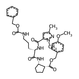 COc1ccc(COC(=O)[C@@H]2CCC[C@@H]2NC(=O)[C@H](CCCNC(=O)OCc2ccccc2)NC(=O)c2cc(C)nn2C)cc1